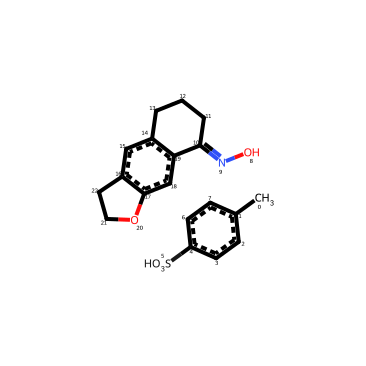 Cc1ccc(S(=O)(=O)O)cc1.ON=C1CCCc2cc3c(cc21)OCC3